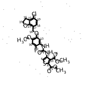 COC(=O)c1scc(NC(=O)Nc2cc(OCc3ccc(Cl)c4c3OCC4)c(OC)cc2F)c1C(=O)OC